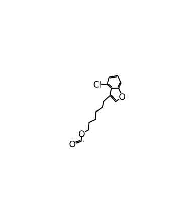 O=[C]OCCCCCCc1coc2cccc(Cl)c12